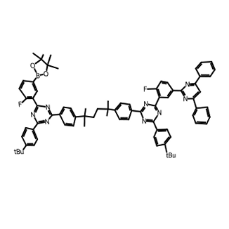 CC(C)(C)c1ccc(-c2nc(-c3ccc(C(C)(C)CCC(C)(C)c4ccc(-c5nc(-c6ccc(C(C)(C)C)cc6)nc(-c6cc(-c7nc(-c8ccccc8)cc(-c8ccccc8)n7)ccc6F)n5)cc4)cc3)nc(-c3cc(B4OC(C)(C)C(C)(C)O4)ccc3F)n2)cc1